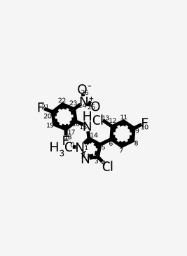 Cn1nc(Cl)c(-c2ccc(F)cc2Cl)c1Nc1c(F)cc(F)cc1[N+](=O)[O-]